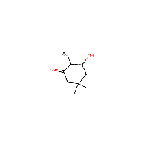 CC1(C)CC(=O)C(C(C)(C)C)C(O)C1